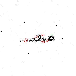 CC(C)OC(=O)CCC[C@@H]1CC[C@@H]2[C@@H](C=C[C@H](O)COc3cccc(Cl)c3)[C@H](O)C[C@@H]2OC1